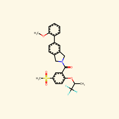 COc1ccccc1-c1ccc2c(c1)CN(C(=O)c1cc(S(C)(=O)=O)ccc1OC(C)C(F)(F)F)C2